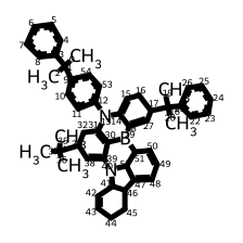 CC(C)(c1ccccc1)c1ccc(N2C3=CCC(C(C)(C)c4ccccc4)C=C3B3C4=C2CC(C(C)(C)C)C=C4N2C4C=CCCC4C4=CC=CC3C42)cc1